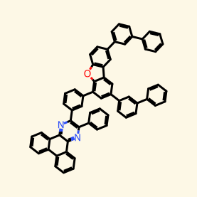 c1ccc(-c2cccc(-c3ccc4oc5c(-c6cccc(-c7nc8c9ccccc9c9ccccc9c8nc7-c7ccccc7)c6)cc(-c6cccc(-c7ccccc7)c6)cc5c4c3)c2)cc1